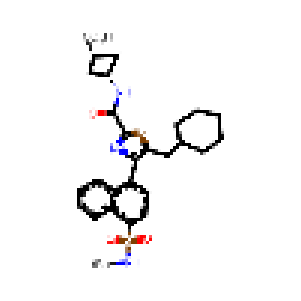 CC(C)(C)NS(=O)(=O)c1ccc(-c2nc(C(=O)N[C@H]3C[C@H](C(=O)O)C3)sc2CC2CCCCC2)c2ccccc12